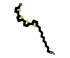 C=CCCCCCCCCCc1ccc(-c2ccc(-c3ccc(-c4ccc(CC)s4)s3)s2)s1